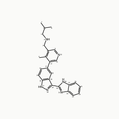 Cc1c(CNCC(C)C)cncc1-c1ccc2[nH]nc(-c3nc4ccccc4[nH]3)c2c1